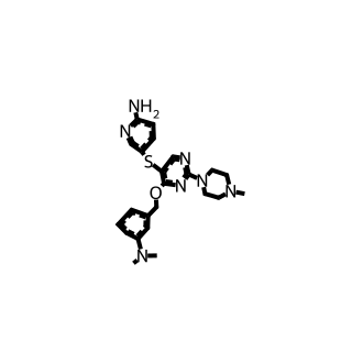 CN1CCN(c2ncc(Sc3ccc(N)nc3)c(OCc3cccc(N(C)C)c3)n2)CC1